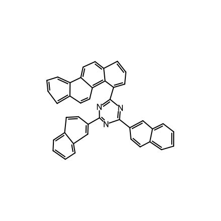 c1ccc2cc(-c3nc(-c4ccc5ccccc5c4)nc(-c4cccc5ccc6c7ccccc7ccc6c45)n3)ccc2c1